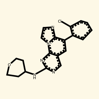 Clc1ccccc1-c1cc2cnc(NC3CCOCC3)nc2n2ccnc12